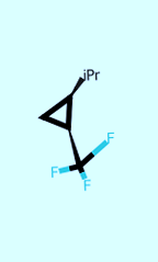 CC(C)[C@@H]1C[C@@H]1C(F)(F)F